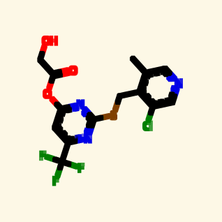 Cc1cncc(Cl)c1CSc1nc(OC(=O)CO)cc(C(F)(F)F)n1